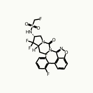 O=C1N(c2noc3cccc(-c4c(F)cccc4F)c23)CC[C@H]2N1C[C@@H](NS(=O)(=O)CF)C2(F)F